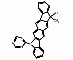 CC1(C)c2ccccc2-c2cc3cc4c(cc3cc21)c1ccccc1n4-c1ncncn1